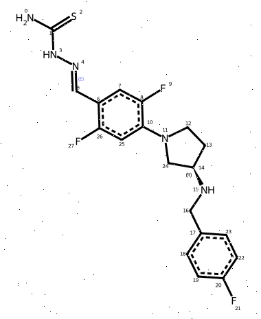 NC(=S)N/N=C/c1cc(F)c(N2CC[C@@H](NCc3ccc(F)cc3)C2)cc1F